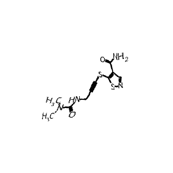 CN(C)C(=O)NCC#CSc1sncc1C(N)=O